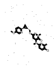 COc1ccc([C@H]2C[C@@H]2COc2cc(N(C)c3ccc(Cl)c(C)n3)c(=O)n(C)n2)nc1